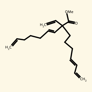 C=CC=CCCCC(C=C)(C=CCCCC=C)C(=O)OC